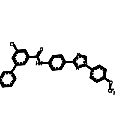 O=C(Nc1ccc(-c2ncn(-c3ccc(OC(F)(F)F)cc3)n2)cc1)c1cc(Cl)cc(-c2ccccc2)c1